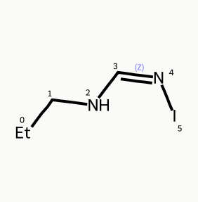 CCCN/C=N\I